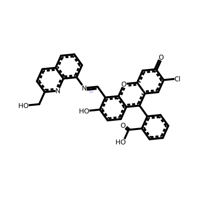 O=C(O)c1ccccc1-c1c2cc(Cl)c(=O)cc-2oc2c(/C=N/c3cccc4ccc(CO)nc34)c(O)ccc12